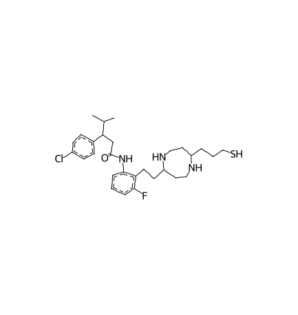 CC(C)C(CC(=O)Nc1cccc(F)c1CCC1CCNC(CCCS)CCN1)c1ccc(Cl)cc1